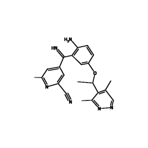 Cc1cc(C(=N)c2cc(OC(C)c3c(C)cnnc3C)ccc2N)cc(C#N)n1